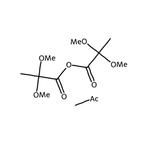 CC(C)=O.COC(C)(OC)C(=O)OC(=O)C(C)(OC)OC